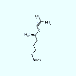 C=C(CCCCCCCCCC)S/C=C(/C)N